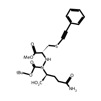 COC(=O)[C@H](CSC#Cc1ccccc1)NN(C(=O)OC(C)(C)C)[C@@H](CCC(N)=O)C(=O)O